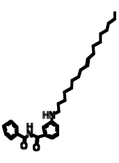 CCCCCCCCC=CCCCCCCCCNc1cccc(C(=O)NC(=O)c2ccccc2)c1